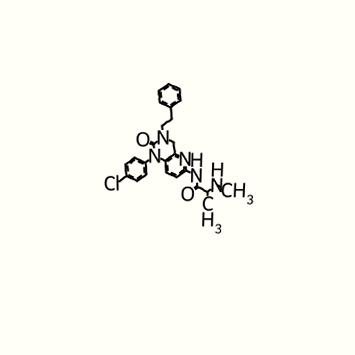 CNC(C)C(=O)Nc1ccc2c(n1)CN(CCc1ccccc1)C(=O)N2c1ccc(Cl)cc1